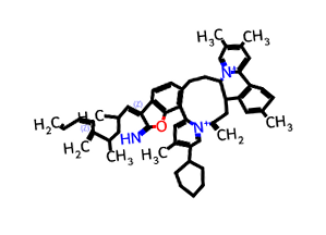 C=C/C=C\C(=C)C(C)CC(C)/C=C1\C(=N)Oc2c1ccc1c2-c2cc(C)c(C3CCCCC3)c[n+]2C(=C)CC2c3cc(C)ccc3-c3cc(C)c(C)c[n+]3C2CC1